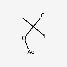 CC(=O)OC(Cl)(I)I